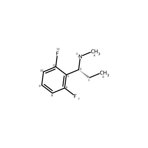 CC[C@@H]([N]C)c1c(F)cccc1F